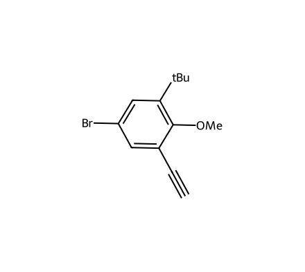 C#Cc1cc(Br)cc(C(C)(C)C)c1OC